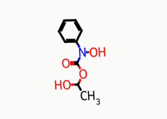 CC(O)OC(=O)N(O)c1ccccc1